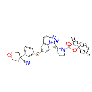 CC(C)(C)OC(=O)N1CCC[C@H]1c1nnc2ccc3cc(Sc4cccc(C5(C#N)CCOCC5)c4)ccc3n12